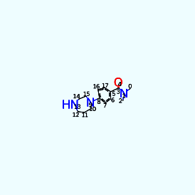 CN(C)C(=O)c1ccc(N2CCCNCC2)cc1